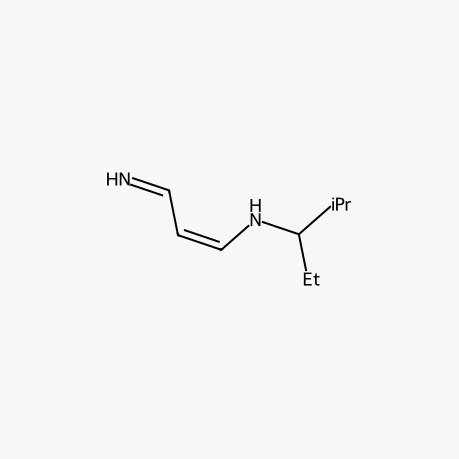 CCC(N/C=C\C=N)C(C)C